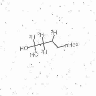 [2H]C(CCCCCCC)C([2H])([2H])C([2H])(O)O